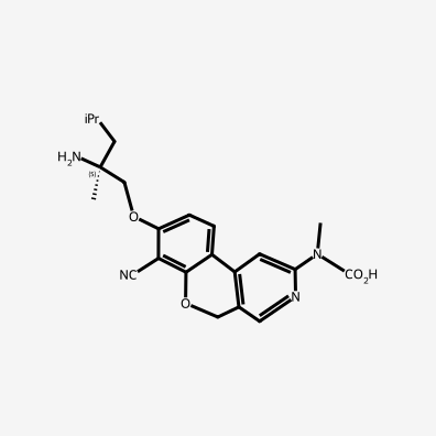 CC(C)C[C@](C)(N)COc1ccc2c(c1C#N)OCc1cnc(N(C)C(=O)O)cc1-2